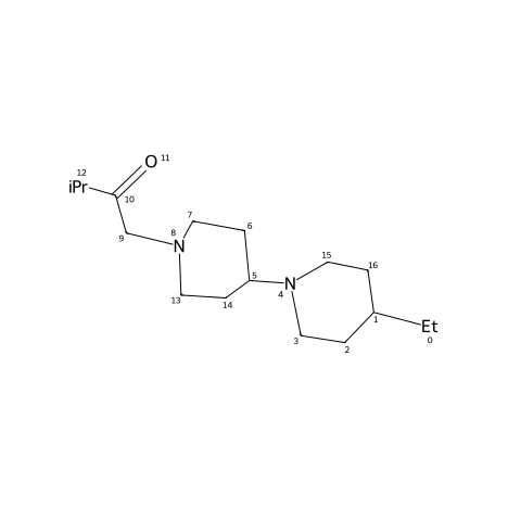 CCC1CCN(C2CCN(CC(=O)C(C)C)CC2)CC1